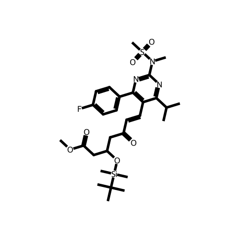 COC(=O)CC(CC(=O)C=Cc1c(-c2ccc(F)cc2)nc(N(C)S(C)(=O)=O)nc1C(C)C)O[Si](C)(C)C(C)(C)C